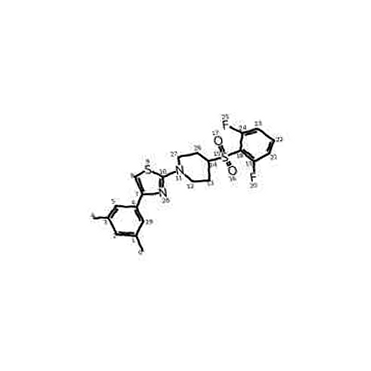 Cc1cc(C)cc(-c2csc(N3CCC(S(=O)(=O)c4c(F)cccc4F)CC3)n2)c1